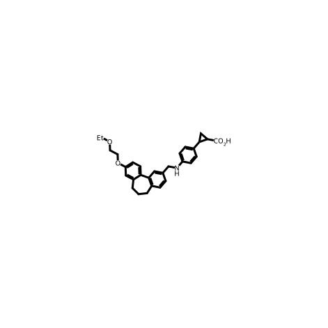 CCOCCOc1ccc2c(c1)CCCc1ccc(CNc3ccc(C4CC4C(=O)O)cc3)cc1-2